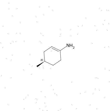 C[C@H]1CC=C(N)CC1